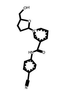 N#Cc1ccc(NC(=O)c2ccc[n+](C3CCC(CO)O3)c2)cc1